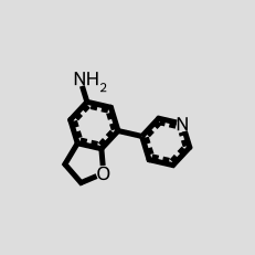 Nc1cc2c(c(-c3cccnc3)c1)OCC2